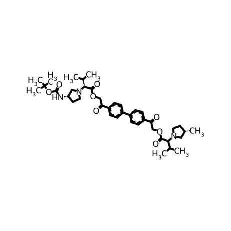 CC(C)C(C(=O)OCC(=O)c1ccc(-c2ccc(C(=O)COC(=O)[C@H](C(C)C)N3CC[C@H](NC(=O)OC(C)(C)C)C3)cc2)cc1)N1CC[C@H](C)C1